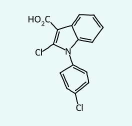 O=C(O)c1c(Cl)n(-c2ccc(Cl)cc2)c2ccccc12